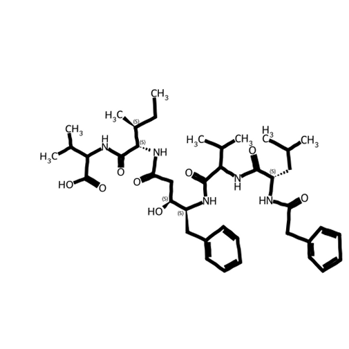 CC[C@H](C)[C@H](NC(=O)C[C@H](O)[C@H](Cc1ccccc1)NC(=O)C(NC(=O)[C@H](CC(C)C)NC(=O)Cc1ccccc1)C(C)C)C(=O)NC(C(=O)O)C(C)C